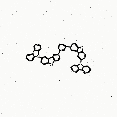 C1=c2oc3ccc(-n4c5ccccc5c5ccccc54)cc3c2=CC(c2cccc(-c3ccc4oc5ccc(-n6c7ccccc7c7ccccc76)cc5c4c3)c2)C1